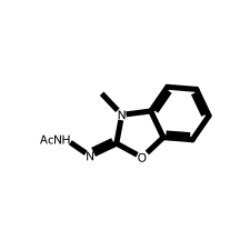 CC(=O)NN=c1oc2ccccc2n1C